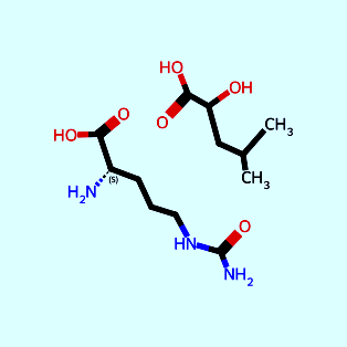 CC(C)CC(O)C(=O)O.NC(=O)NCCC[C@H](N)C(=O)O